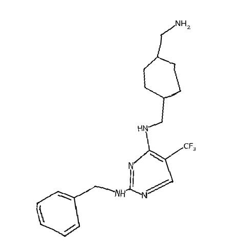 NCC1CCC(CNc2nc(NCc3ccccc3)ncc2C(F)(F)F)CC1